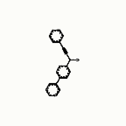 OC(C#Cc1ccccc1)c1ccc(-c2ccccc2)cc1